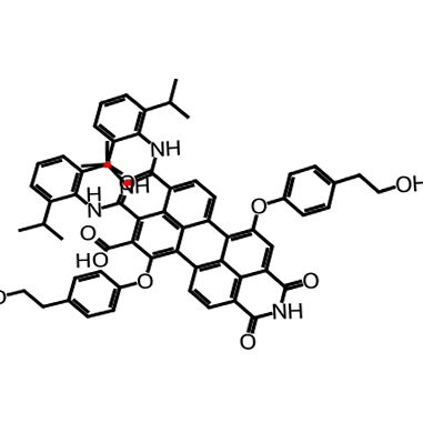 CC(C)c1cccc(C(C)C)c1NC(=N)c1c(C(=O)O)c(Oc2ccc(CCO)cc2)c2c3ccc4c5c(cc(Oc6ccc(CCO)cc6)c(c6ccc(C(=O)Nc7c(C(C)C)cccc7C(C)C)c1c62)c53)C(=O)NC4=O